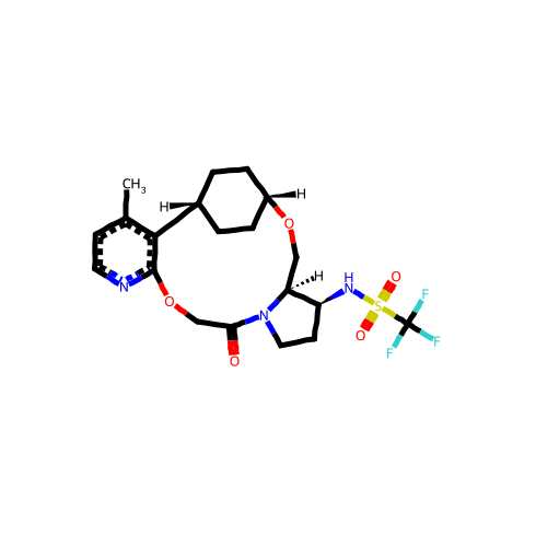 Cc1ccnc2c1[C@H]1CC[C@H](CC1)OC[C@H]1[C@@H](NS(=O)(=O)C(F)(F)F)CCN1C(=O)CO2